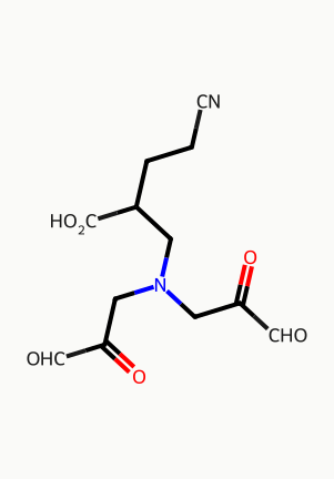 N#CCCC(CN(CC(=O)C=O)CC(=O)C=O)C(=O)O